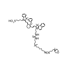 CC1(C)C(/C=C/C2=C(Oc3ccccc3)C(=C/C=C3/N(CCCCS(=O)(=O)O)c4ccccc4C3(C)C)/CCC2)=[N+](CCCNC(=S)NCCC[N+](C)(C)CCCCCCN=C=NCCC[N+]2(C)CCOCC2)c2ccc3ccccc3c21